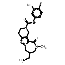 CN1CC(CN)Cn2nc3c(c2C1=O)CN(C(=O)Nc1ccc(F)c(C#N)c1)CC3